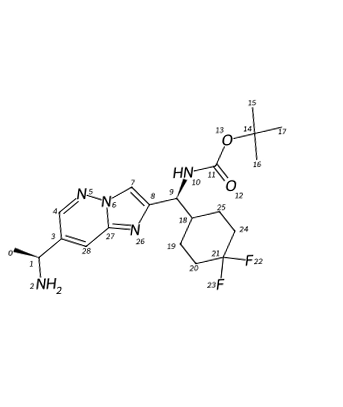 C[C@H](N)c1cnn2cc([C@@H](NC(=O)OC(C)(C)C)C3CCC(F)(F)CC3)nc2c1